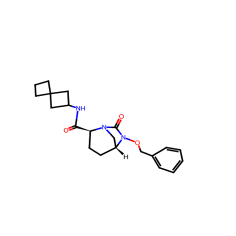 O=C(NC1CC2(CCC2)C1)[C@@H]1CC[C@@H]2CN1C(=O)N2OCc1ccccc1